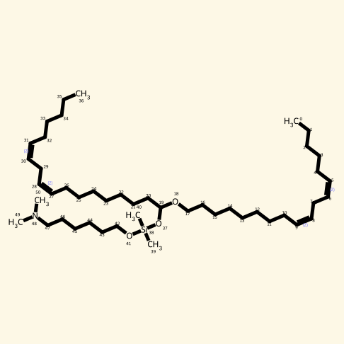 CCCCC/C=C\C/C=C\CCCCCCCCOC(CCCCCCC/C=C\C/C=C\CCCCC)O[Si](C)(C)OCCCCCCN(C)C